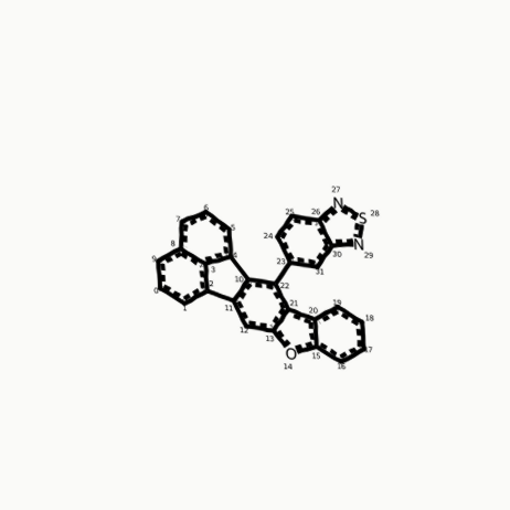 c1cc2c3c(cccc3c1)-c1c-2cc2oc3ccccc3c2c1-c1ccc2nsnc2c1